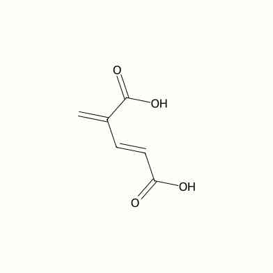 C=C(C=CC(=O)O)C(=O)O